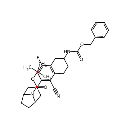 CC(C)(C)OC(=O)N1C2CCC1CN(c1cc(F)c3c(c1C#N)CCC(NC(=O)OCc1ccccc1)C3)C2